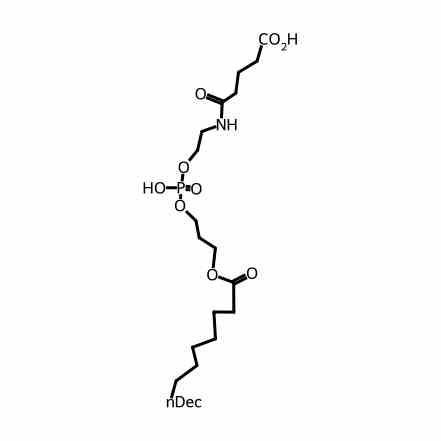 CCCCCCCCCCCCCCCCC(=O)OCCCOP(=O)(O)OCCNC(=O)CCCC(=O)O